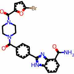 NC(=O)c1cccc2[nH]c(-c3ccc(C(=O)N4CCN(C(=O)c5ccc(Br)o5)CC4)cc3)nc12